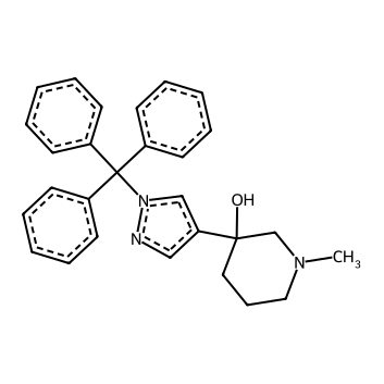 CN1CCCC(O)(c2cnn(C(c3ccccc3)(c3ccccc3)c3ccccc3)c2)C1